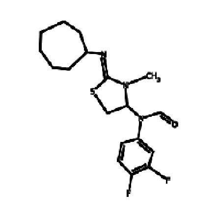 CN1C(=NC2CCCCCC2)SCC1N(C=O)c1ccc(F)c(F)c1